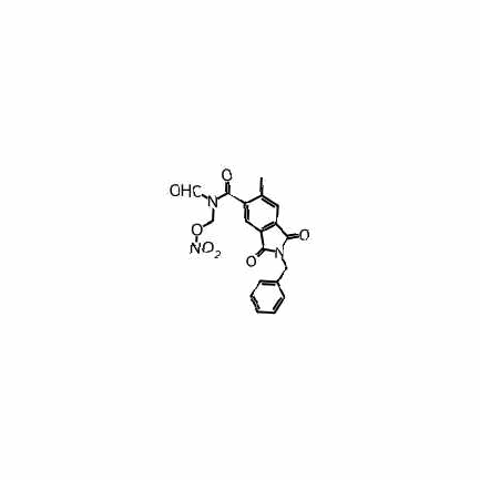 Cc1cc2c(cc1C(=O)N(C=O)CO[N+](=O)[O-])C(=O)N(Cc1ccccc1)C2=O